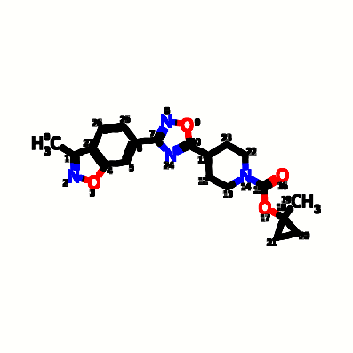 Cc1noc2cc(-c3noc(C4CCN(C(=O)OC5(C)CC5)CC4)n3)ccc12